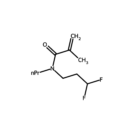 C=C(C)C(=O)N(CCC)CCC(F)F